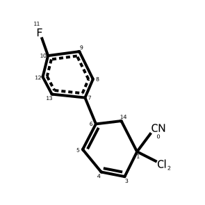 N#CC1(Cl)C=CC=C(c2ccc(F)cc2)C1